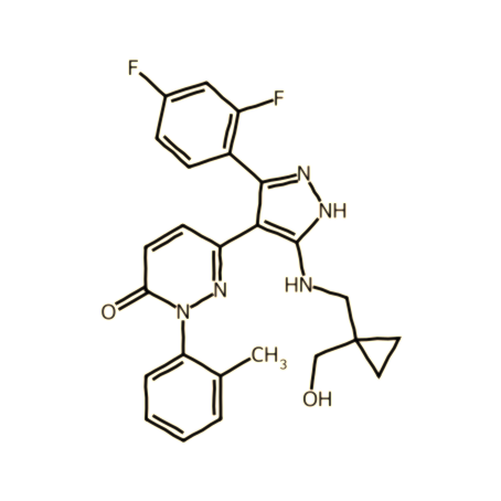 Cc1ccccc1-n1nc(-c2c(-c3ccc(F)cc3F)n[nH]c2NCC2(CO)CC2)ccc1=O